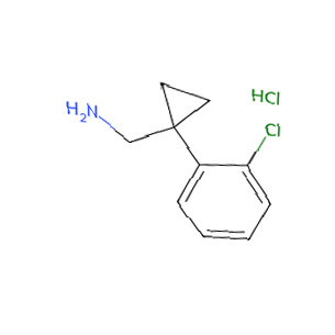 Cl.NCC1(c2ccccc2Cl)CC1